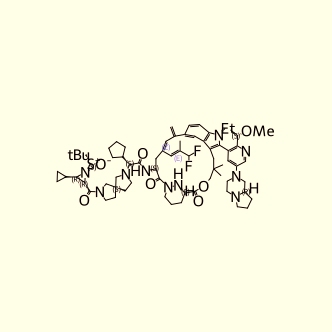 C=C1/C=C(\C=C(/C)C(F)F)C[C@H](NC(=O)[C@H](C2CCCC2)N2CC[C@]3(CCN(C(=O)[C@H]4[C@@H](C5CC5)N4[S@+]([O-])C(C)(C)C)C3)C2)C(=O)N2CCC[C@H](N2)C(=O)OCC(C)(C)Cc2c(-c3cc(N4CCN5CCC[C@@H]5C4)cnc3[C@H](C)OC)n(CC)c3ccc1cc23